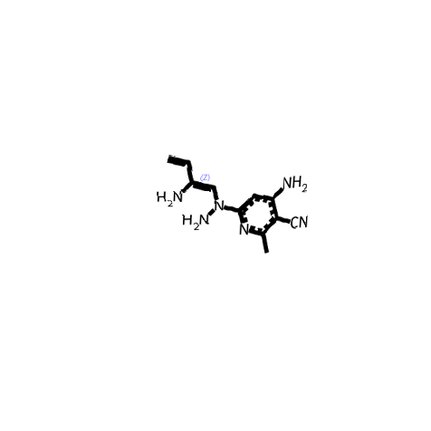 C=C/C(N)=C/N(N)c1cc(N)c(C#N)c(C)n1